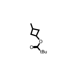 CC1CC(OC(=O)C(C)(C)C)C1